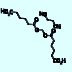 O=C(O)CCCCC(=O)OCOC(=O)CCCCC(=O)O.OCCO